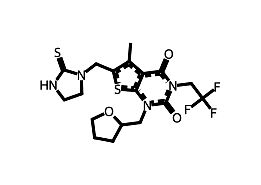 Cc1c(CN2CCNC2=S)sc2c1c(=O)n(CC(F)(F)F)c(=O)n2CC1CCCO1